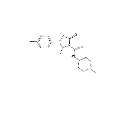 Cc1ccc(C2OC(=O)N(C(=O)NC3CCC(C)CC3)C2C)cc1